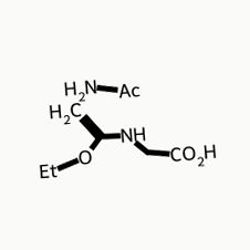 C=C(NCC(=O)O)OCC.CC(N)=O